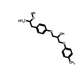 CCCOC(Cc1ccc(OCC(O)COc2ccc(C)cc2)cc1)C(=O)O